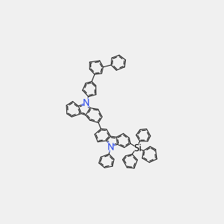 c1ccc(-c2cccc(-c3ccc(-n4c5ccccc5c5cc(-c6ccc7c(c6)c6ccc([Si](c8ccccc8)(c8ccccc8)c8ccccc8)cc6n7-c6ccccc6)ccc54)cc3)c2)cc1